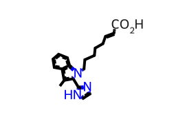 Cc1c(-c2ncc[nH]2)n(CCCCCC=CC(=O)O)c2ccccc12